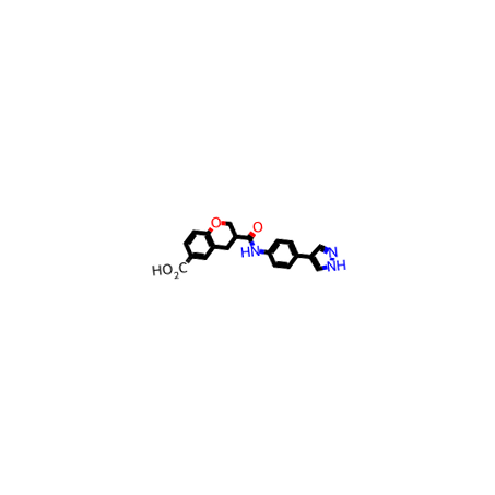 O=C(O)c1ccc2c(c1)CC(C(=O)Nc1ccc(-c3cn[nH]c3)cc1)CO2